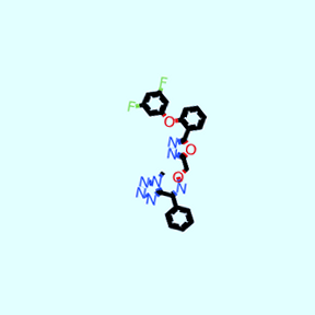 Cn1nnnc1/C(=N\OCc1nnc(-c2ccccc2Oc2cc(F)cc(F)c2)o1)c1ccccc1